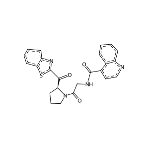 O=C(NCC(=O)N1CCC[C@H]1C(=O)c1nc2ccccc2s1)c1ccnc2ccccc12